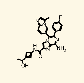 Cc1cnc2ccc(-c3c(-c4ccc(F)cc4)nc(N)c4nc(C(=O)NC56CC(C(C)O)(C5)C6)cn34)cn12